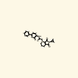 O=C(CN1CCCC2=C1C(=O)N(C1CC1)C2=O)Nc1ccc(-c2cccnc2)nc1F